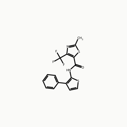 Cc1nc(C(F)(F)F)c(C(=O)Nc2sccc2-c2ccccc2)s1